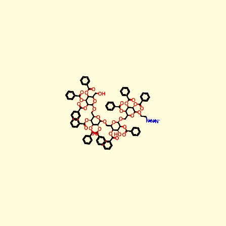 [N-]=[N+]=NCCOC1OC(CO[C@@H]2OC(COC3OC(CO[C@@H]4OC(CO)C(OC(=O)c5ccccc5)[C@H](OC(=O)c5ccccc5)C4OC(=O)c4ccccc4)[C@@H](OC(=O)c4ccccc4)C(OC(=O)c4ccccc4)[C@H]3OC(=O)c3ccccc3)C(OC(=O)c3ccccc3)[C@H](O)C2OC(=O)c2ccccc2)[C@@H](OC(=O)c2ccccc2)C(OC(=O)c2ccccc2)[C@H]1OC(=O)c1ccccc1